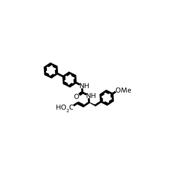 COc1ccc(C[C@@H](/C=C/C(=O)O)NC(=O)Nc2ccc(-c3ccccc3)cc2)cc1